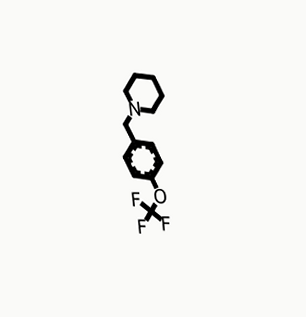 FC(F)(F)Oc1ccc(CN2CCCCC2)cc1